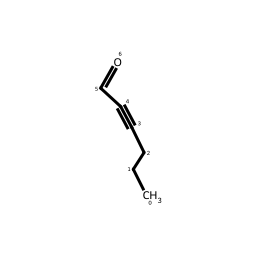 CCCC#CC=O